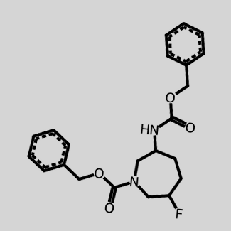 O=C(NC1CCC(F)CN(C(=O)OCc2ccccc2)C1)OCc1ccccc1